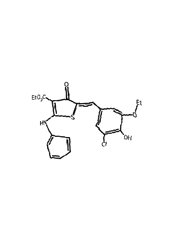 CCOC(=O)C1=C(Nc2ccccc2)S/C(=C\c2cc(Cl)c(O)c(OCC)c2)C1=O